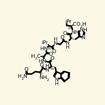 CC(C)C[C@H](NC(=O)[C@H](Cc1c[nH]cn1)NC(=O)CNC(=O)[C@@H](NC(=O)[C@H](C)NC(=O)[C@H](Cc1c[nH]c2ccccc12)NC(=O)[C@@H](N)CCC(N)=O)C(C)C)C(=O)O